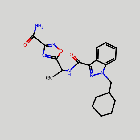 CC(C)(C)C(NC(=O)c1nn(CC2CCCCC2)c2ccccc12)c1nc(C(N)=O)no1